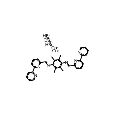 Br.Br.Br.Br.Cc1c(C)c(N=Cc2cccc(-c3ccccn3)n2)c(C)c(C)c1N=Cc1cccc(-c2ccccn2)n1.[Co].[Co]